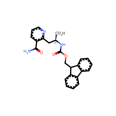 NC(=O)c1cccnc1C[C@H](NC(=O)OCC1c2ccccc2-c2ccccc21)C(=O)O